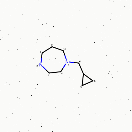 C1C[N]CCN(CC2CC2)C1